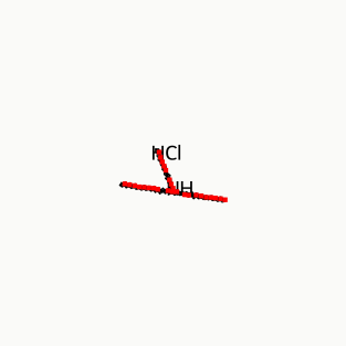 CCCCCCCCC=CCCCCCCCCCCCCC(CCCCCCCCCCCCC=CCCCCCCCC)NCCCCCCCCC=CCCCCCCCC.Cl